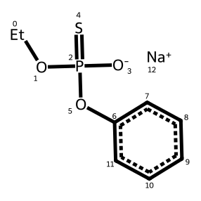 CCOP([O-])(=S)Oc1ccccc1.[Na+]